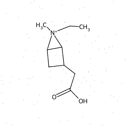 CC[N+]1(C)C2CC(CC(=O)O)C21